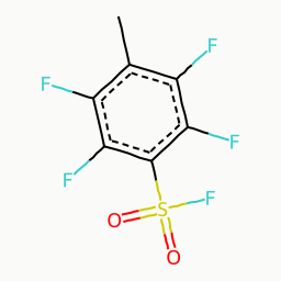 Cc1c(F)c(F)c(S(=O)(=O)F)c(F)c1F